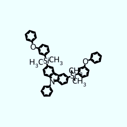 C[Si](C)(c1cccc(Oc2ccccc2)c1)c1ccc2c(c1)c1cc([Si](C)(C)c3cccc(Oc4ccccc4)c3)ccc1n2-c1ccccc1